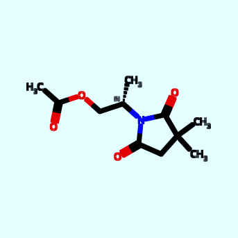 CC(=O)OC[C@H](C)N1C(=O)CC(C)(C)C1=O